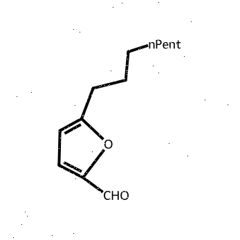 CCCCCCCCc1ccc(C=O)o1